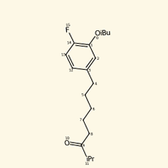 CC(C)COc1cc(CCCCCC(=O)C(C)C)ccc1F